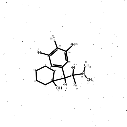 [2H]c1cc(C([2H])(C2(O)CCCCC2)C([2H])([2H])N(C)C)cc([2H])c1O